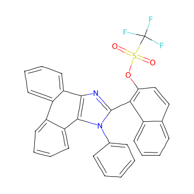 O=S(=O)(Oc1ccc2ccccc2c1-c1nc2c3ccccc3c3ccccc3c2n1-c1ccccc1)C(F)(F)F